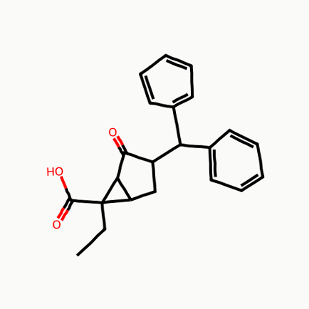 CCC1(C(=O)O)C2CC(C(c3ccccc3)c3ccccc3)C(=O)C21